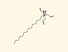 C=CC[PH](CC=C)(CC=C)CCCCCCCCCCCCCC